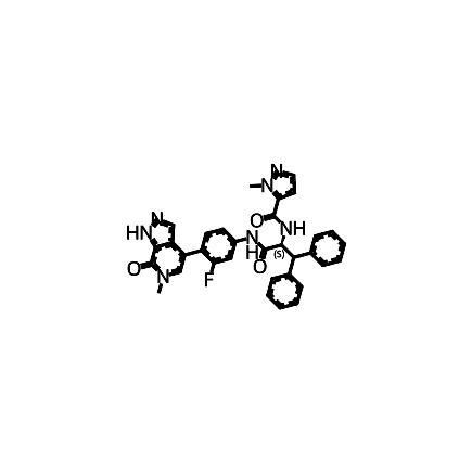 Cn1nccc1C(=O)N[C@H](C(=O)Nc1ccc(-c2cn(C)c(=O)c3[nH]ncc23)c(F)c1)C(c1ccccc1)c1ccccc1